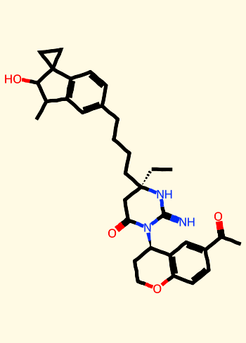 CC[C@@]1(CCCCc2ccc3c(c2)C(C)C(O)C32CC2)CC(=O)N([C@@H]2CCOc3ccc(C(C)=O)cc32)C(=N)N1